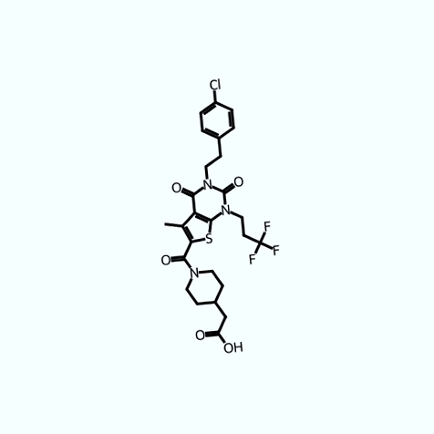 Cc1c(C(=O)N2CCC(CC(=O)O)CC2)sc2c1c(=O)n(CCc1ccc(Cl)cc1)c(=O)n2CCC(F)(F)F